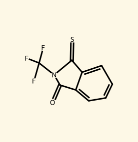 O=C1c2ccccc2C(=S)N1C(F)(F)F